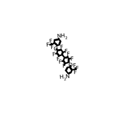 Nc1ccc(Oc2c(F)c(F)c(-c3c(F)c(F)c(Oc4ccc(N)cc4C(F)(F)F)c(F)c3F)c(F)c2F)c(C(F)(F)F)c1